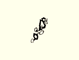 O=S(=O)(c1ccc(Cl)cc1)N1CCC2(CC=NO2)CC1